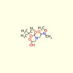 CON(C)C(=O)CN(CC(=O)O)C(=O)OC(C)(C)C